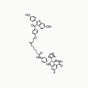 CN(CCCCCC(=O)Nc1ccc([C@H]2Nc3cc(F)cc4c(=O)[nH]nc(c34)[C@@H]2c2ncnn2C)cc1)CCOc1ccc(C(=O)c2c(-c3ccc(O)cc3)sc3cc(O)ccc23)cc1